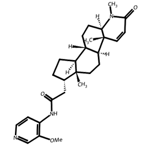 COc1cnccc1NC(=O)C[C@@H]1CC[C@H]2[C@@H]3CC[C@H]4N(C)C(=O)C=C[C@]4(C)[C@H]3CC[C@]12C